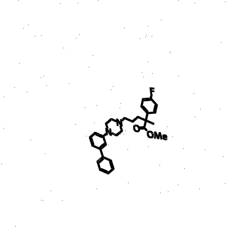 COC(=O)C(C)(CCCN1CCN(c2cccc(-c3ccccc3)c2)CC1)c1ccc(F)cc1